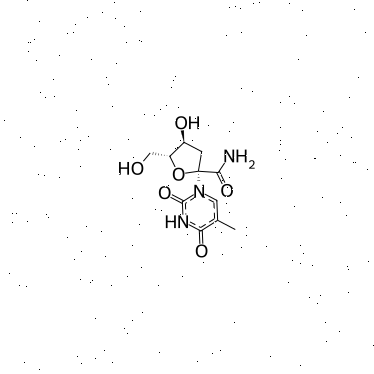 Cc1cn([C@@]2(C(N)=O)C[C@H](O)[C@@H](CO)O2)c(=O)[nH]c1=O